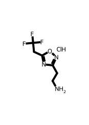 Cl.NCCc1noc(CC(F)(F)F)n1